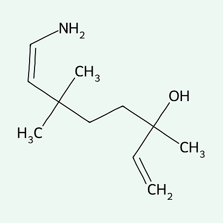 C=CC(C)(O)CCC(C)(C)/C=C\N